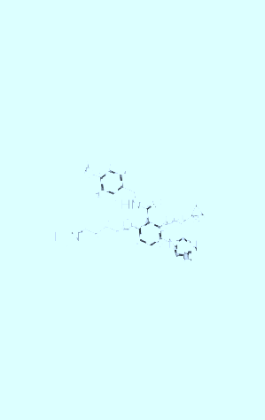 COc1ccc(CNC(=O)c2c(OCCCCN)ccc(-n3cnnc3)c2OCC2CC2)cc1F